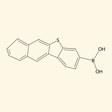 OB(O)c1ccc2c(c1)sc1cc3ccccc3cc12